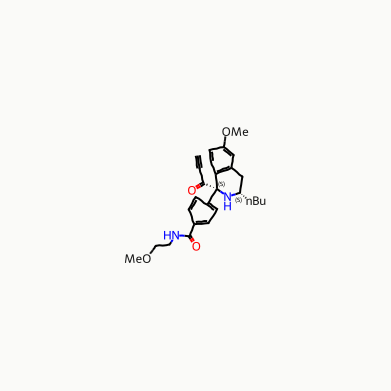 C#CC(=O)[C@@]1(c2ccc(C(=O)NCCOC)cc2)N[C@@H](CCCC)Cc2cc(OC)ccc21